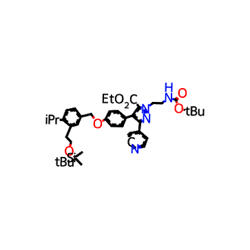 CCOC(=O)c1c(-c2ccc(OCc3ccc(C(C)C)c(CCO[Si](C)(C)C(C)(C)C)c3)cc2)c(-c2ccncc2)nn1CCNC(=O)OC(C)(C)C